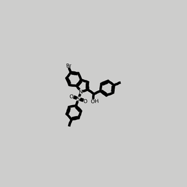 Cc1ccc(C(O)c2cc3cc(Br)ccc3n2S(=O)(=O)c2ccc(C)cc2)cc1